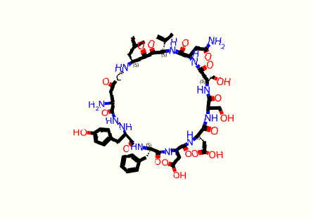 CC(C)C[C@@H]1NCC(=O)CC(N)C(=O)NNC(Cc2ccc(O)cc2)C(=O)N[C@@H](Cc2ccccc2)C(=O)NC(CC(=O)O)C(=O)N[C@@H](CC(=O)O)C(=O)NC(CO)C(=O)N[C@@H](CO)C(=O)NC(CC(N)=O)C(=O)N[C@@H](C(C)C)C(=O)C1=O